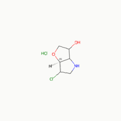 Cl.OC1CO[C@@H]2C(Cl)CNC12